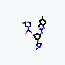 Cc1ccc2nc(Nc3cc(OCC(=O)N4CCNC(=O)C4)cc(-c4cnn(C)c4)c3)ncc2c1